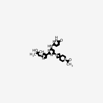 CC(=O)N1CCC2(CC1)CN(c1cc(Nc3ccc(=O)[nH]n3)nc(-c3cnn(CC(C)(C)O)c3)n1)C2